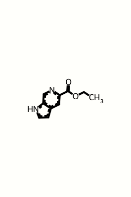 CCOC(=O)c1cc2cc[nH]c2cn1